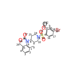 Cc1cccc2c1N(C1CCN(S(=O)(=O)c3ccc(Br)cc3OC(F)(F)F)CC1)C(=O)OC2